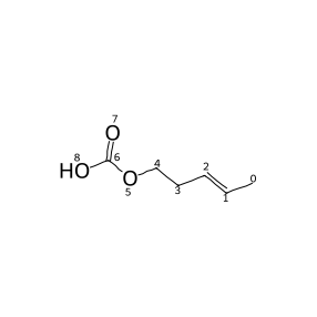 CC=CCCOC(=O)O